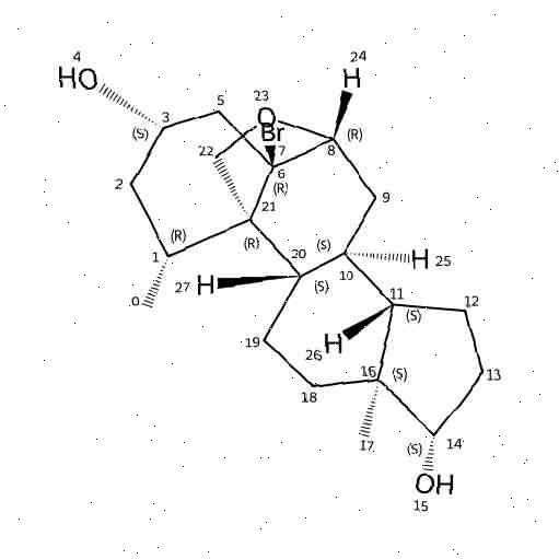 C[C@@H]1C[C@H](O)C[C@]2(Br)[C@H]3C[C@H]4[C@@H]5CC[C@H](O)[C@@]5(C)CC[C@@H]4[C@@]12CO3